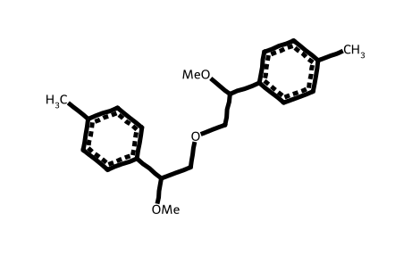 COC(COCC(OC)c1ccc(C)cc1)c1ccc(C)cc1